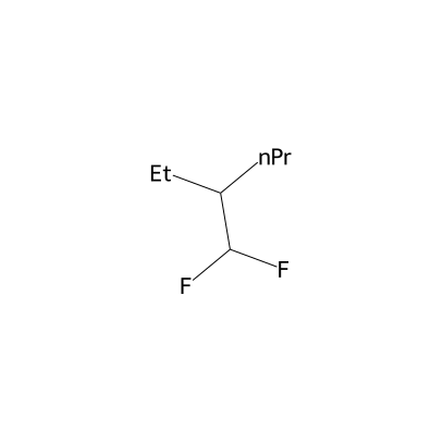 CCCC(CC)C(F)F